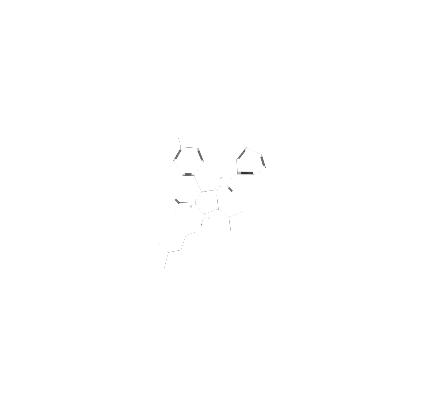 CC(C)CCS[C@@H]1C(C(C)C)N(S(=O)(=O)c2ccccc2)C(c2ccc(Cl)cc2)[C@@H]1C(=O)O